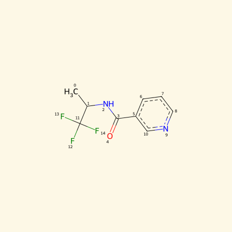 CC(NC(=O)c1cccnc1)C(F)(F)F